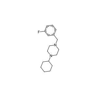 Fc1cccc(CN2CCN(C3CCCCC3)CC2)c1